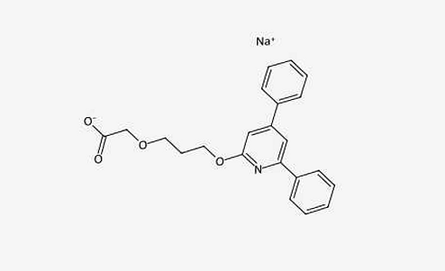 O=C([O-])COCCCOc1cc(-c2ccccc2)cc(-c2ccccc2)n1.[Na+]